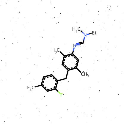 CCN(C)/C=N/c1cc(C)c(Cc2ccc(C(F)(F)F)cc2F)cc1C